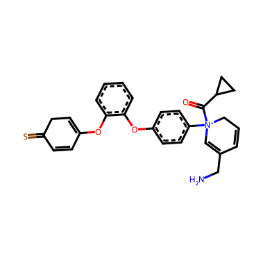 NCC1=C[N+](C(=O)C2CC2)(c2ccc(Oc3ccccc3OC3=CCC(=S)C=C3)cc2)CC=C1